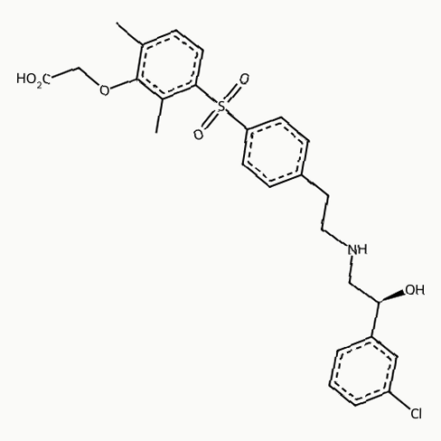 Cc1ccc(S(=O)(=O)c2ccc(CCNC[C@@H](O)c3cccc(Cl)c3)cc2)c(C)c1OCC(=O)O